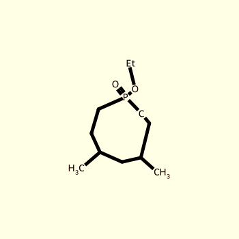 CCOP1(=O)CCC(C)CC(C)CC1